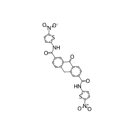 O=C(Nc1ccc([N+](=O)[O-])s1)c1ccc2c(c1)Cc1ccc(C(=O)Nc3ccc([N+](=O)[O-])s3)cc1C2=O